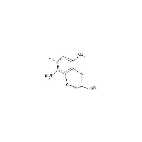 CCCC1COc2c(N)c(C)cc(N)c2S1